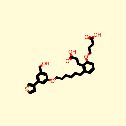 O=C(O)CCCOc1cccc(CCCCCCOc2cc(CO)cc(-c3ccsc3)c2)c1CCC(=O)O